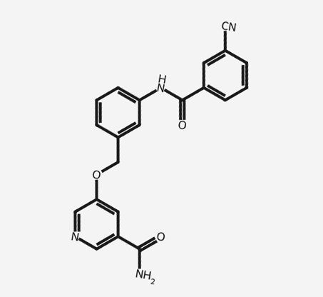 N#Cc1cccc(C(=O)Nc2cccc(COc3cncc(C(N)=O)c3)c2)c1